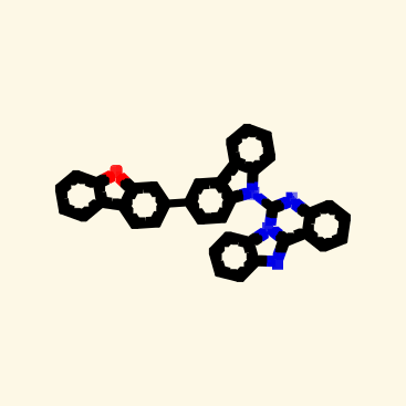 c1ccc2c(c1)nc(-n1c3ccccc3c3cc(-c4ccc5c(c4)oc4ccccc45)ccc31)n1c3ccccc3nc21